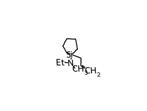 C=CC[Si]1(N(C)CC)CCCCC1